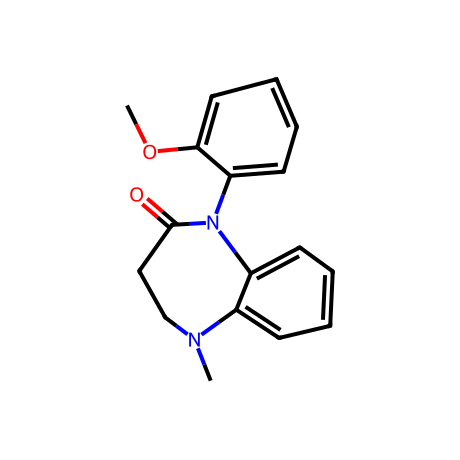 COc1ccccc1N1C(=O)CCN(C)c2ccccc21